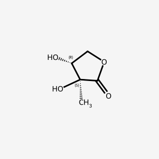 C[C@@]1(O)C(=O)OC[C@H]1O